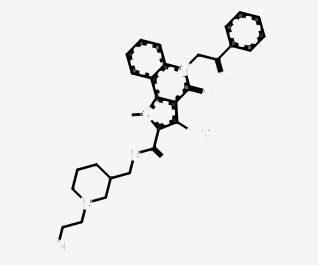 COc1c(C(=O)NCC2CCCN(CCO)C2)n(C)c2c1c(=O)n(CC(=O)c1ccccc1)c1ccccc21